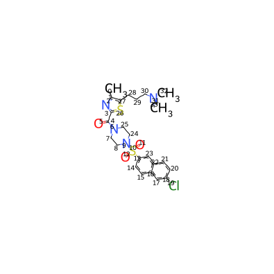 Cc1nc(C(=O)N2CCN(S(=O)(=O)c3ccc4cc(Cl)ccc4c3)CC2)sc1CCCN(C)C